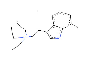 CC[N+](CC)(CC)CCc1c[nH]c2c(C)cccc12.[I-]